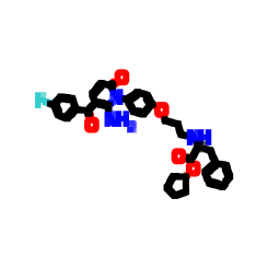 Nc1c(C(=O)c2ccc(F)cc2)ccc(=O)n1-c1ccc(OCCCN[C@@H](Cc2ccccc2)C(=O)OC2CCCC2)cc1